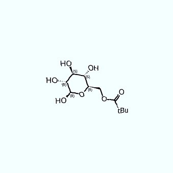 CC(C)(C)C(=O)OC[C@H]1O[C@@H](O)[C@H](O)[C@@H](O)[C@@H]1O